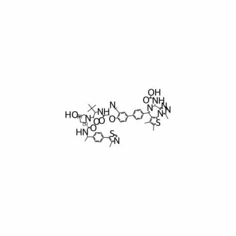 Cc1ncsc1-c1ccc(C(C)NC(=O)[C@@H]2C[C@@H](O)CN2C(=O)C(NC(=O)COc2ccc(-c3ccc(C4=NC(NC(=O)O)c5nnc(C)n5-c5sc(C)c(C)c54)cc3)cc2C#N)C(C)(C)C)cc1